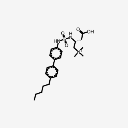 CCCCCc1ccc(-c2ccc(NS(=O)(=O)N[C@H](CC(=O)O)C[N+](C)(C)C)cc2)cc1